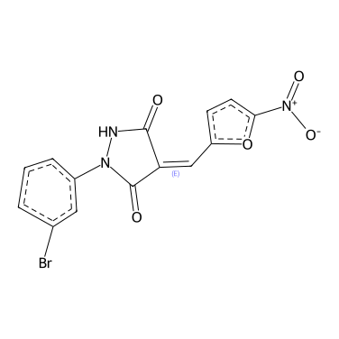 O=C1NN(c2cccc(Br)c2)C(=O)/C1=C/c1ccc([N+](=O)[O-])o1